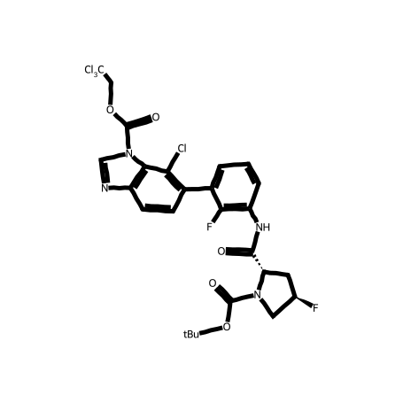 CC(C)(C)OC(=O)N1C[C@H](F)C[C@H]1C(=O)Nc1cccc(-c2ccc3ncn(C(=O)OCC(Cl)(Cl)Cl)c3c2Cl)c1F